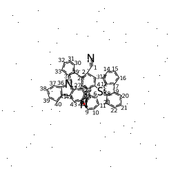 N#Cc1cc([Si](c2ccccc2)(c2ccccc2)c2ccccc2)c(C#N)cc1-c1ccccc1-n1c2ccccc2c2ccccc21